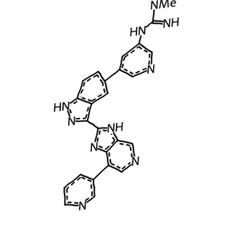 CNC(=N)Nc1cncc(-c2ccc3[nH]nc(-c4nc5c(-c6cccnc6)cncc5[nH]4)c3c2)c1